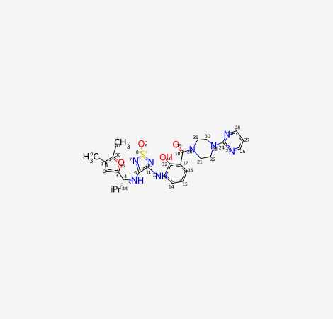 Cc1cc([C@H](Nc2n[s+]([O-])nc2Nc2cccc(C(=O)N3CCN(c4ncccn4)CC3)c2O)C(C)C)oc1C